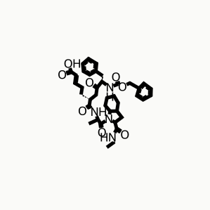 CCNC(=O)C1CC2CCCCC2N1C(=O)C(C)NC(=O)[C@H](CC/C=C/C(=O)O)CC(=O)[C@H](Cc1ccccc1)NC(=O)OCc1ccccc1